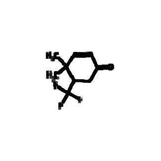 CC1(C)C=CC(=O)CC1C(F)(F)F